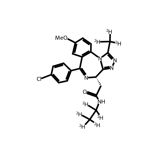 [2H]C([2H])([2H])c1nnc2n1-c1ccc(OC)cc1C(c1ccc(Cl)cc1)=N[C@H]2CC(=O)NC([2H])([2H])C([2H])([2H])[2H]